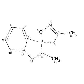 CC1=NO[C@]2(C1)c1ccccc1CC2C